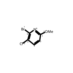 COc1ccc(Cl)c(Br)n1